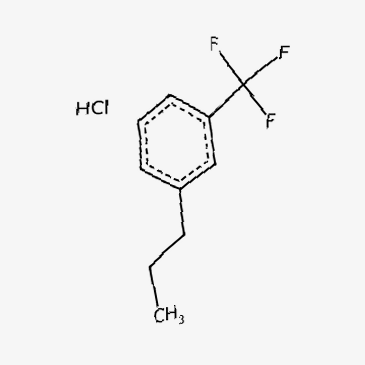 CCCc1cccc(C(F)(F)F)c1.Cl